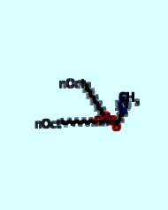 CCCCCCCCC=CCCCCCCCCOCC(COC(=O)CCCN1CCN(C)CC1)OCCCCCCCCC=CCCCCCCCC